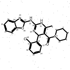 CC1=C(C(=O)N2CCCCC2)C(c2ccccc2Cl)N=C(Nc2nc3ccccc3o2)N1